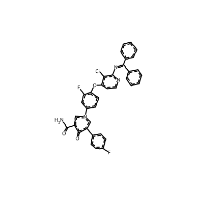 NC(=O)c1cn(-c2ccc(Oc3ccnc(N=C(c4ccccc4)c4ccccc4)c3Cl)c(F)c2)cc(-c2ccc(F)cc2)c1=O